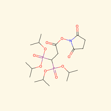 CC(C)OP(=O)(OC(C)C)C(CC(=O)ON1C(=O)CCC1=O)P(=O)(OC(C)C)OC(C)C